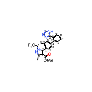 COC(=O)c1c(C)nn(CC(F)(F)F)c1-c1ccc(-c2ccccc2-c2nnn[nH]2)cc1C